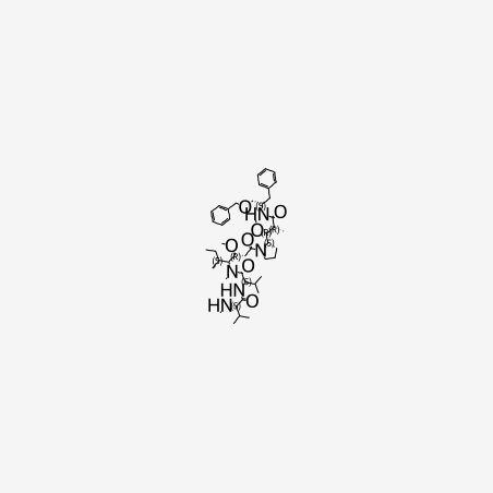 CC[C@H](C)C([C@@H](CC(=O)N1CCC[C@H]1[C@H](OC)[C@@H](C)C(=O)N[C@H](COCc1ccccc1)Cc1ccccc1)OC)N(C)C(=O)[C@@H](NC(=O)[C@@H](NC)C(C)C)C(C)C